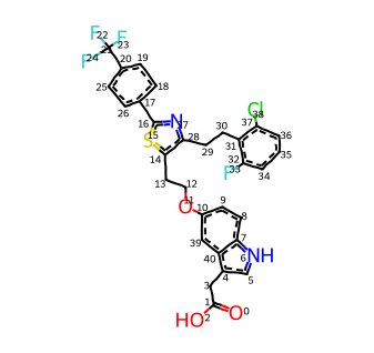 O=C(O)Cc1c[nH]c2ccc(OCCc3sc(-c4ccc(C(F)(F)F)cc4)nc3CCc3c(F)cccc3Cl)cc12